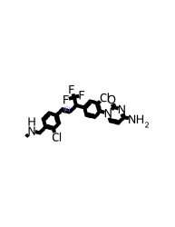 CNCc1ccc(/C=C/C(c2ccc(-n3ccc(N)nc3=O)c(Cl)c2)C(F)(F)F)cc1Cl